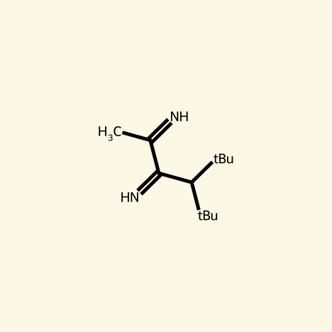 CC(=N)C(=N)C(C(C)(C)C)C(C)(C)C